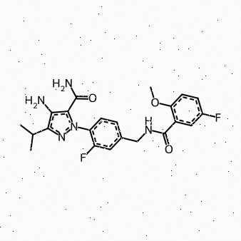 COc1ccc(F)cc1C(=O)NCc1ccc(-n2nc(C(C)C)c(N)c2C(N)=O)c(F)c1